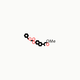 COC(=O)CC(C)c1ccc2cc(OC(=O)COCc3ccccc3)ccc2c1